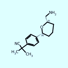 CC(C)(C#N)c1ccc([C@H]2CCC[C@@H](CN)O2)cc1